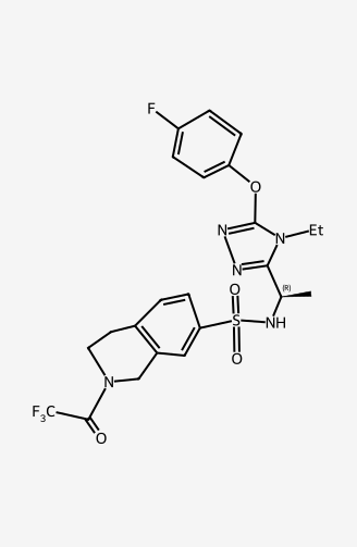 CCn1c(Oc2ccc(F)cc2)nnc1[C@@H](C)NS(=O)(=O)c1ccc2c(c1)CN(C(=O)C(F)(F)F)CC2